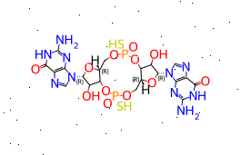 Nc1nc2c(ncn2[C@@H]2O[C@@H]3COP(=O)(S)OC4C(O)[C@H](n5cnc6c(=O)[nH]c(N)nc65)O[C@@H]4COP(=O)(S)OC3C2O)c(=O)[nH]1